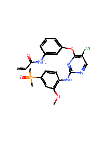 C=CC(=O)Nc1cccc(Oc2nc(Nc3ccc(P(C)(C)=O)cc3OC)ncc2Cl)c1